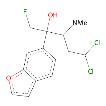 CNC(CC(Cl)Cl)C(O)(CF)c1ccc2ccoc2c1